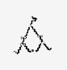 CC/C=C\CCCCOC(CCC(=O)OCCCCCCCN(CCCCCCCOC(=O)CCC(OCCCC/C=C\CC)OCCCC/C=C\CC)CCCN1CCCC1=O)OCCCC/C=C\CC